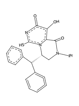 CC(C)N1C[C@H](C(C2=C=C=CC=C2)c2ccccc2)n2c(S)nc(=O)c(O)c2C1=O